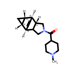 CN1CCC(C(=O)N2CC3[C@@H](C2)[C@H]2C=C[C@@H]3[C@@H]3C[C@H]23)CC1